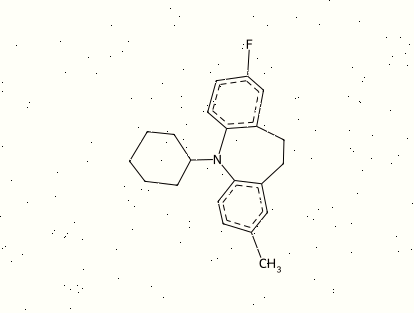 Cc1ccc2c(c1)CCc1cc(F)ccc1N2C1CCCCC1